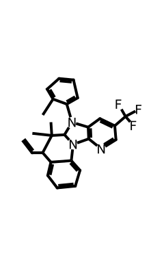 C=CC1c2ccccc2N2c3ncc(C(F)(F)F)cc3N(c3ccccc3C)C2C1(C)C